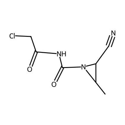 CC1C(C#N)N1C(=O)NC(=O)CCl